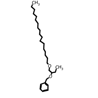 CCCCCCCCCCCCCCCCCCOCC(CC)OCc1ccccc1